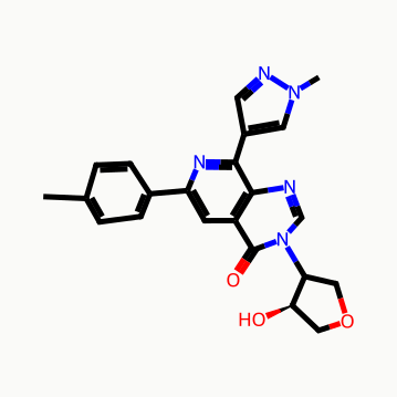 Cc1ccc(-c2cc3c(=O)n(C4COC[C@H]4O)cnc3c(-c3cnn(C)c3)n2)cc1